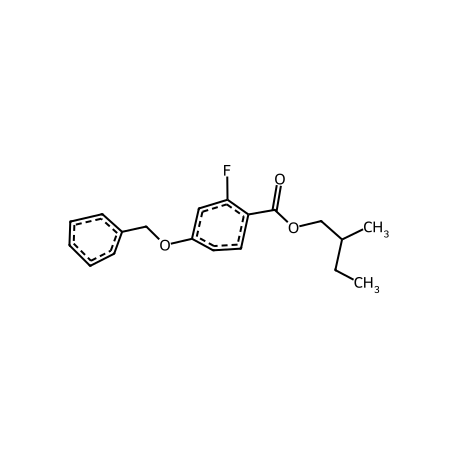 CCC(C)COC(=O)c1ccc(OCc2ccccc2)cc1F